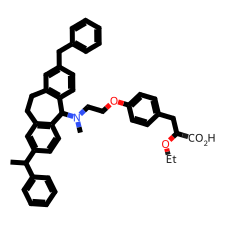 CCOC(Cc1ccc(OCCN(C)C2c3ccc(Cc4ccccc4)cc3CCc3cc(C(C)c4ccccc4)ccc32)cc1)C(=O)O